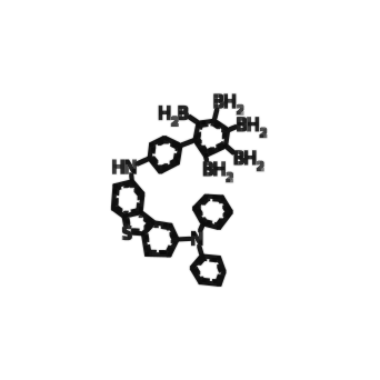 Bc1c(B)c(B)c(-c2ccc(Nc3ccc4sc5ccc(N(c6ccccc6)c6ccccc6)cc5c4c3)cc2)c(B)c1B